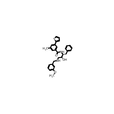 COc1cccc(CNC[C@H](O)[C@H](Cc2ccccc2)NC(=O)c2cc(C)cc(-c3cccs3)c2)c1